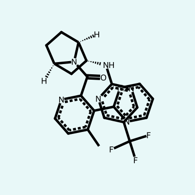 Cc1ccnc(C(=O)N2[C@@H]3CC[C@H]2[C@H](Nc2ncc(C(F)(F)F)cn2)C3)c1-c1ncccn1